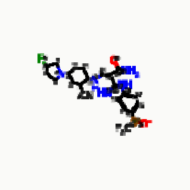 N#CC1CC(N2CC[C@@H](F)C2)CC[C@@H]1N/C=C(\C(=N)Nc1ccc([S+]([O-])C(F)(F)F)cc1)C(N)=O